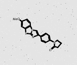 COc1ccc2c(c1)sc1nc(-c3ccc(N4CCCC4=O)cc3)cn12